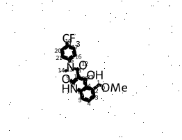 COCc1cccc2[nH]c(=O)c(C(=O)N(C)c3ccc(C(F)(F)F)cc3)c(O)c12